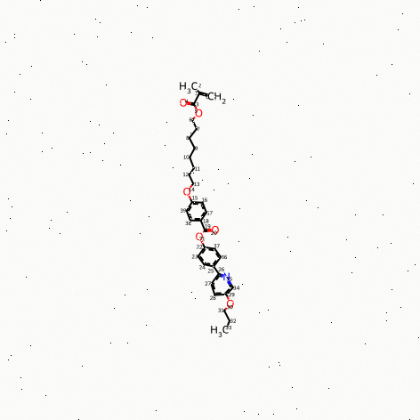 C=C(C)C(=O)OCCCCCCCCOc1ccc(C(=O)Oc2ccc(-c3ccc(OCCC)cn3)cc2)cc1